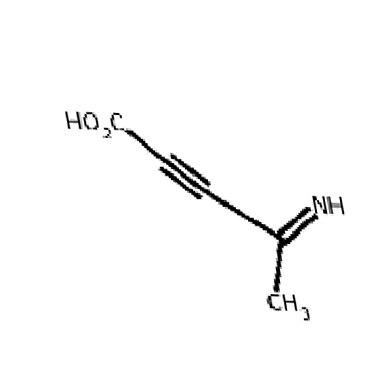 CC(=N)C#CC(=O)O